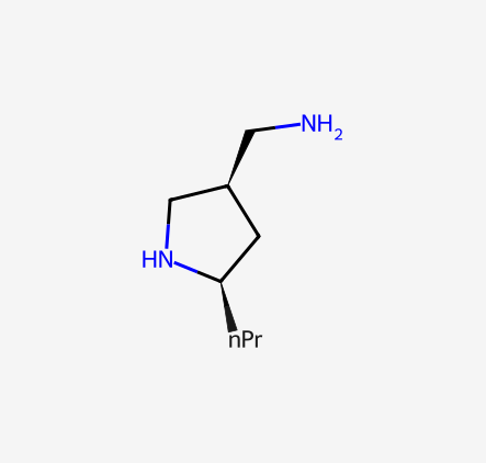 CCC[C@@H]1C[C@H](CN)CN1